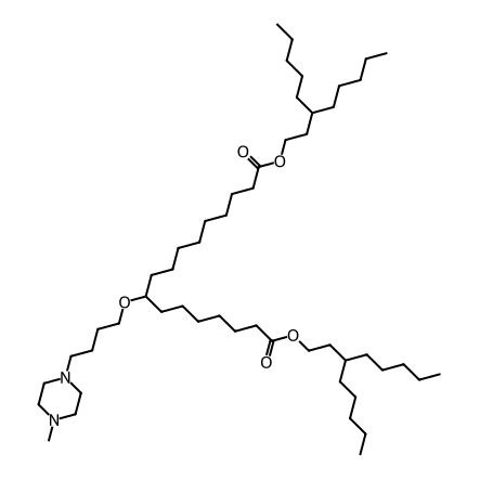 CCCCCC(CCCCC)CCOC(=O)CCCCCCCCC(CCCCCCC(=O)OCCC(CCCCC)CCCCC)OCCCCN1CCN(C)CC1